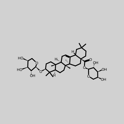 CC1(C)CC[C@]2(C(=O)O[C@@H]3OC[C@H](O)[C@H](O)[C@H]3O)CC[C@]3(C)C(=CC[C@@H]4[C@@]5(C)CC[C@H](O[C@@H]6OC[C@H](O)[C@H](O)[C@H]6O)C(C)(C)[C@@H]5CC[C@]43C)[C@@H]2C1